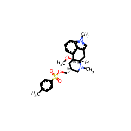 CO[C@]12C[C@@H](COS(=O)(=O)c3ccc(C)cc3)CN(C)[C@@H]1Cc1cn(C)c3cccc2c13